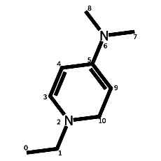 CCN1C=CC(N(C)C)=CC1